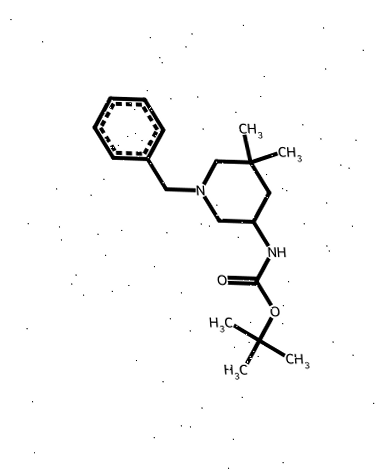 CC1(C)CC(NC(=O)OC(C)(C)C)CN(Cc2ccccc2)C1